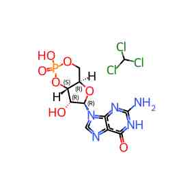 ClC(Cl)Cl.Nc1nc2c(ncn2[C@@H]2O[C@@H]3COP(=O)(O)O[C@H]3[C@H]2O)c(=O)[nH]1